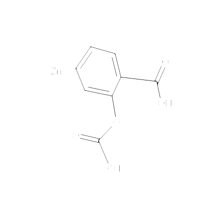 CC(=O)Oc1ccccc1C(=O)O.[Zn]